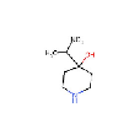 CC([N+](=O)[O-])C1(O)CCNCC1